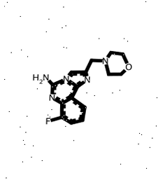 Nc1nc2c(F)cccc2c2nc(CN3CCOCC3)cn12